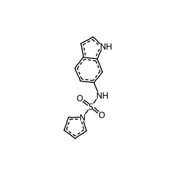 O=S(=O)(Nc1ccc2cc[nH]c2c1)n1cccc1